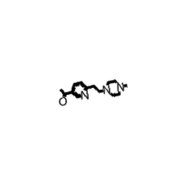 CC(=O)c1ccc(CCN2CCN(C)CC2)nc1